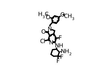 COc1ccc(CN2Cc3c(F)c(NC4CCCC(F)(F)[C@@H]4N)nc(Cl)c3C2=O)c(OC)c1